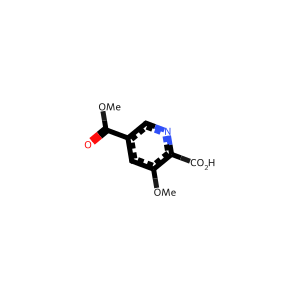 COC(=O)c1cnc(C(=O)O)c(OC)c1